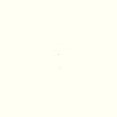 Nc1cc2cnncc2cn1